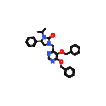 CC(C)N1C(=O)N(Cc2ncnc(OCc3ccccc3)c2OCc2ccccc2)CC1c1ccccc1